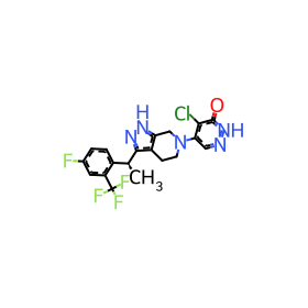 C[C@@H](c1ccc(F)cc1C(F)(F)F)c1n[nH]c2c1CCN(c1cn[nH]c(=O)c1Cl)C2